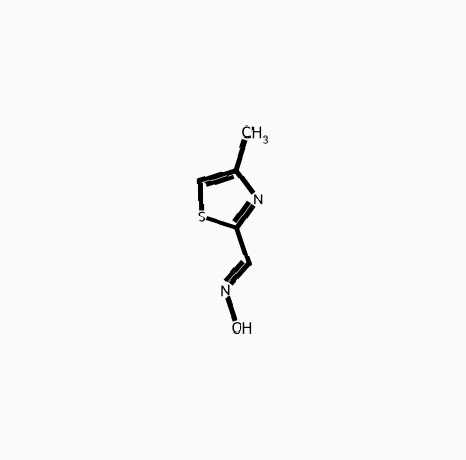 Cc1csc(C=NO)n1